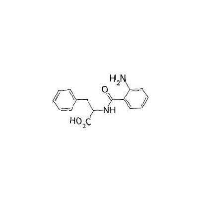 Nc1ccccc1C(=O)NC(Cc1ccccc1)C(=O)O